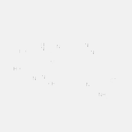 Cc1nn(C)cc1C(C)NC(=O)N1CC[C@@]2(CCn3nc(-c4cnc(N)c(C(F)(F)F)c4)cc32)C1